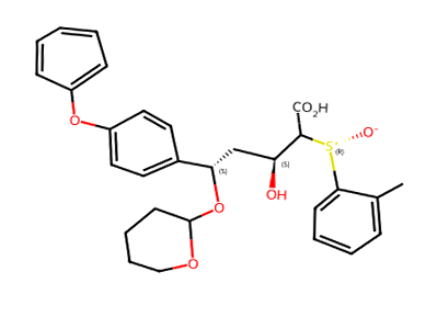 Cc1ccccc1[S@@+]([O-])C(C(=O)O)[C@@H](O)C[C@H](OC1CCCCO1)c1ccc(Oc2ccccc2)cc1